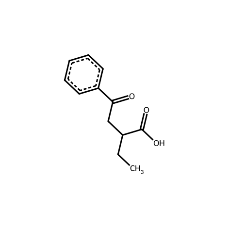 CCC(CC(=O)c1ccccc1)C(=O)O